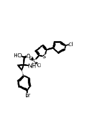 O=C(O)C1(NS(=O)(=O)c2ccc(-c3ccc(Cl)cc3)s2)C[C@H]1c1ccc(Br)cc1